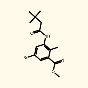 COC(=O)c1cc(Br)cc(NC(=O)CC(C)(C)C)c1C